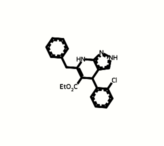 CCOC(=O)C1=C(Cc2ccccc2)Nc2n[nH]cc2C1c1ccccc1Cl